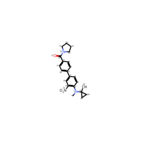 CN(c1ccc(-c2ccc(C(=O)N3CCCC3)cc2)cc1[N+](=O)[O-])C1(C#N)CC1